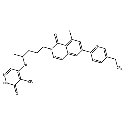 CC(CCCn1ccc2cc(-c3ccc(CC(F)(F)F)cn3)cc(F)c2c1=O)Nc1cn[nH]c(=O)c1C(F)(F)F